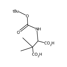 CC(C)(C)OC(=O)NC(C(=O)O)C(C)(C)C(=O)O